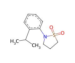 CC(C)c1ccccc1N1CCCS1(=O)=O